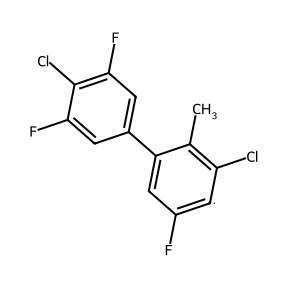 Cc1c(Cl)[c]c(F)cc1-c1cc(F)c(Cl)c(F)c1